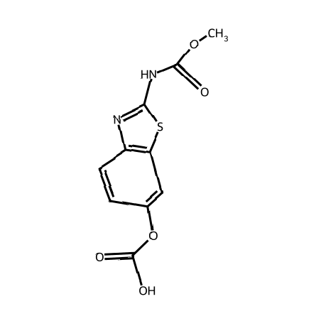 COC(=O)Nc1nc2ccc(OC(=O)O)cc2s1